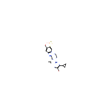 CC(C)[C@@H]1c2nc3cc(CO)c(S(C)(=O)=O)cc3n2CCN1c1ncc(CO)c(C2CC2)n1